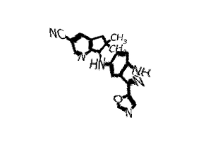 CC1(C)Cc2cc(C#N)cnc2[C@@H]1Nc1ccc2[nH]nc(-c3cnco3)c2c1